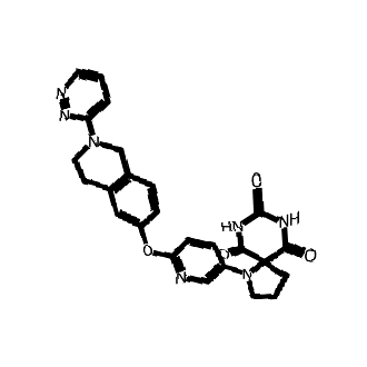 O=C1NC(=O)C2(CCCN2c2ccc(Oc3ccc4c(c3)CCN(c3cccnn3)C4)nc2)C(=O)N1